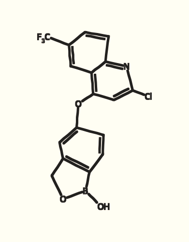 OB1OCc2cc(Oc3cc(Cl)nc4ccc(C(F)(F)F)cc34)ccc21